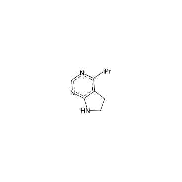 CC(C)c1ncnc2c1CCN2